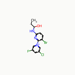 C[CH]C(O)Nc1ccc(Br)c(-[n+]2cc(F)cc(Cl)c2)n1